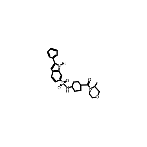 CCn1c(-c2ccccc2)cc2ccc(S(=O)(=O)NC3CCC(C(=O)N4CCOCC4C)CC3)cc21